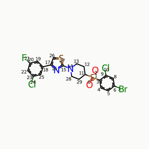 O=S(=O)(c1ccc(Br)cc1Cl)C1CCN(c2nc(-c3cc(F)cc(Cl)c3)cs2)CC1